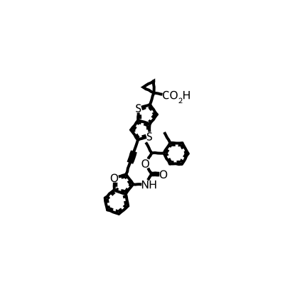 Cc1ccccc1C(C)OC(=O)Nc1c(C#Cc2cc3sc(C4(C(=O)O)CC4)cc3s2)oc2ccccc12